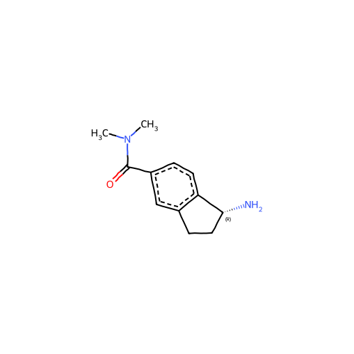 CN(C)C(=O)c1ccc2c(c1)CC[C@H]2N